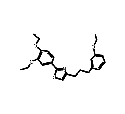 CCOc1cccc(CCCc2coc(-c3ccc(OCC)c(OCC)c3)n2)c1